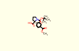 COC(=O)c1ccc([C@]2(C(=O)O)CCCN2C(=O)OC(C)(C)C)cc1